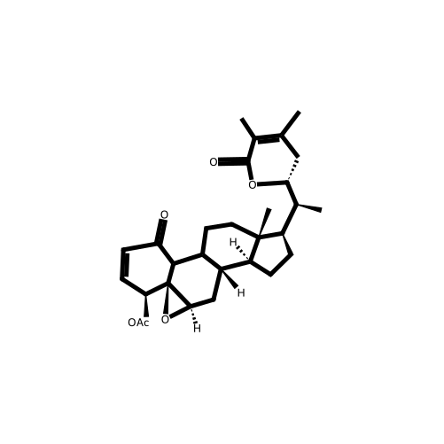 CC(=O)O[C@H]1C=CC(=O)C2C3CC[C@]4(C)[C@@H]([C@H](C)[C@H]5CC(C)=C(C)C(=O)O5)CC[C@H]4[C@@H]3C[C@H]3O[C@]213